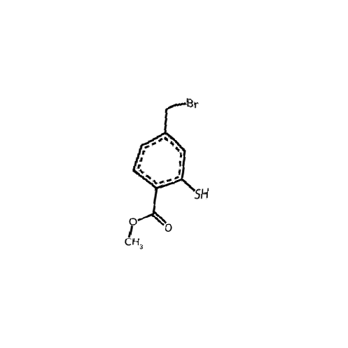 COC(=O)c1ccc(CBr)cc1S